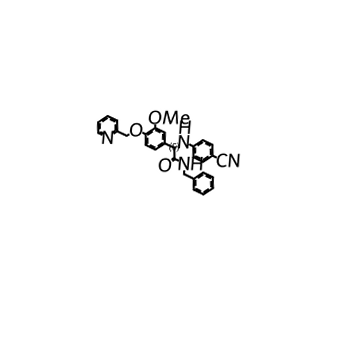 COc1cc([C@H](Nc2ccc(C#N)cc2)C(=O)NCc2ccccc2)ccc1OCc1ccccn1